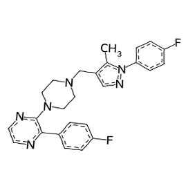 Cc1c(CN2CCN(c3nccnc3-c3ccc(F)cc3)CC2)cnn1-c1ccc(F)cc1